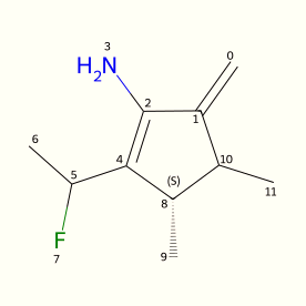 C=C1C(N)=C(C(C)F)[C@@H](C)C1C